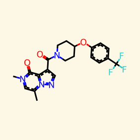 Cc1cn(C)c(=O)c2c(C(=O)N3CCC(Oc4ccc(C(F)(F)F)cc4)CC3)cnn12